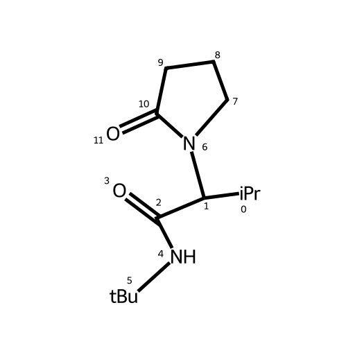 CC(C)C(C(=O)NC(C)(C)C)N1CCCC1=O